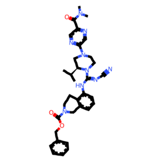 CC(C)[C@H]1CN(c2cnc(C(=O)N(C)C)cn2)CCN1/C(=N\C#N)Nc1cccc2c1CCN(C(=O)OCc1ccccc1)C2